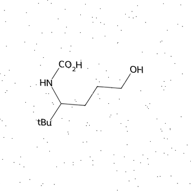 CC(C)(C)C(CCCO)NC(=O)O